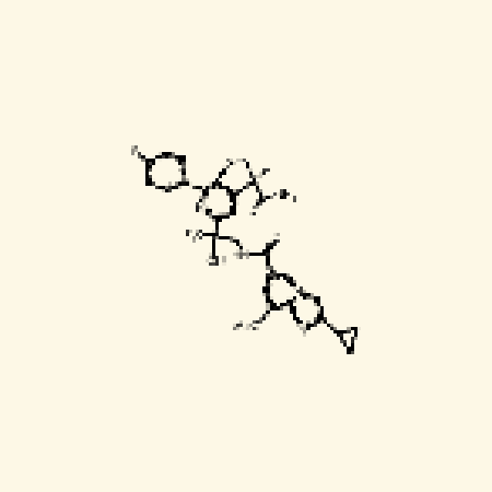 COc1cc(C(=O)NCC(O)(c2cc3c(c(-c4ccc(F)cc4)n2)OC[C@]3(C)C(N)=O)C(F)(F)F)cn2cc(C3CC3)nc12